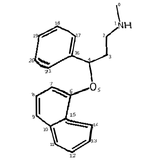 CNCCC(Oc1cccc2ccccc12)c1ccccc1